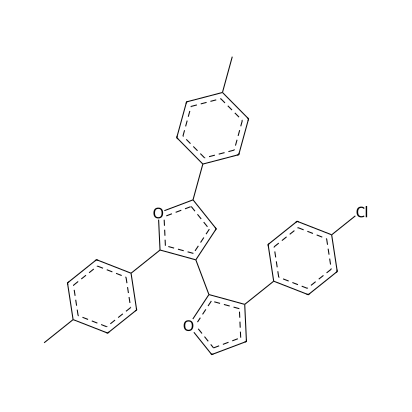 Cc1ccc(-c2cc(-c3occc3-c3ccc(Cl)cc3)c(-c3ccc(C)cc3)o2)cc1